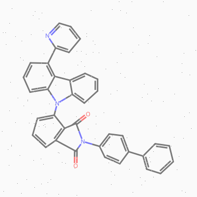 O=C1c2cccc(-n3c4ccccc4c4c(-c5ccccn5)cccc43)c2C(=O)N1c1ccc(-c2ccccc2)cc1